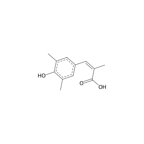 CC(=Cc1cc(C)c(O)c(C)c1)C(=O)O